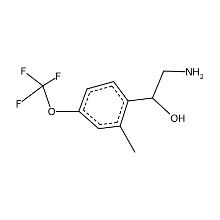 Cc1cc(OC(F)(F)F)ccc1C(O)CN